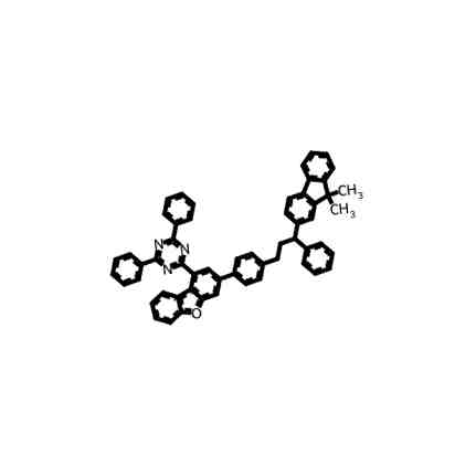 CC1(C)c2ccccc2-c2ccc(C(CCc3ccc(-c4cc(-c5nc(-c6ccccc6)nc(-c6ccccc6)n5)c5c(c4)oc4ccccc45)cc3)c3ccccc3)cc21